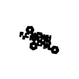 O=C(/C=C\n1nc(-c2ccccc2C(F)(F)F)nc1-c1ccccc1C(F)(F)F)NN1CCN(Cc2ccccc2)CC1